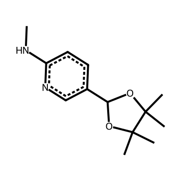 CNc1ccc(C2OC(C)(C)C(C)(C)O2)cn1